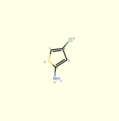 Nc1cc(Cl)cs1